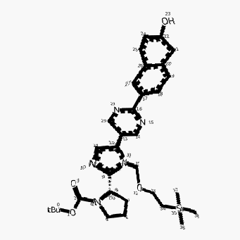 CC(C)(C)OC(=O)N1CCC[C@H]1c1ncc(-c2cnc(-c3ccc4cc(O)ccc4c3)nc2)n1COCC[Si](C)(C)C